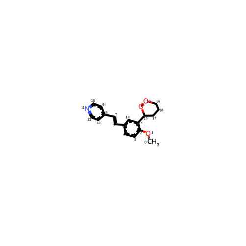 COc1ccc(C=Cc2ccncc2)cc1C1CCCOO1